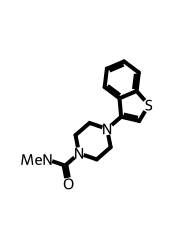 CNC(=O)N1CCN(c2csc3ccccc23)CC1